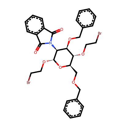 O=C1c2ccccc2C(=O)N1[C@@H]1[C@@H](OCCBr)O[C@H](COCc2ccccc2)[C@@H](OCCBr)[C@@H]1OCc1ccccc1